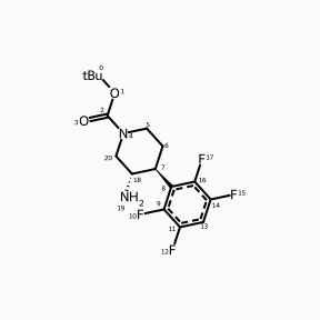 CC(C)(C)OC(=O)N1CC[C@@H](c2c(F)c(F)cc(F)c2F)[C@H](N)C1